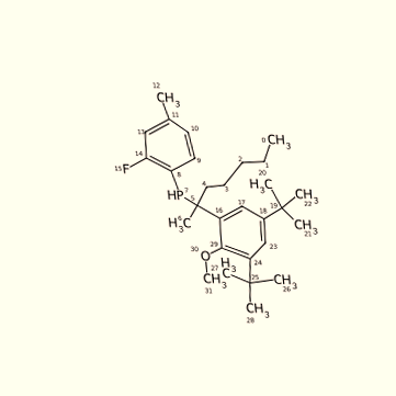 CCCCCC(C)(Pc1ccc(C)cc1F)c1cc(C(C)(C)C)cc(C(C)(C)C)c1OC